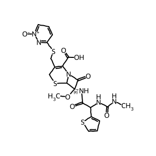 CNC(=O)NC(C(=O)N[C@@]1(OC)C(=O)N2C(C(=O)O)=C(CSc3ccc[n+]([O-])n3)CSC21)c1cccs1